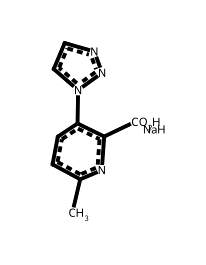 Cc1ccc(-n2ccnn2)c(C(=O)O)n1.[NaH]